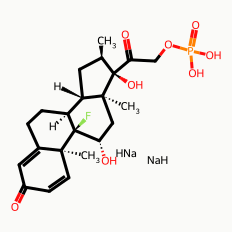 C[C@@H]1C[C@H]2[C@@H]3CCC4=CC(=O)C=C[C@]4(C)[C@@]3(F)[C@@H](O)C[C@]2(C)[C@@]1(O)C(=O)COP(=O)(O)O.[NaH].[NaH]